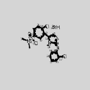 Br.CN(C)S(=O)(=O)c1ccc(Cl)c(-c2csc(=Nc3ccccc3Cl)n2C)c1